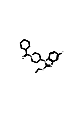 CCSc1nc2cc(F)ccc2n1C1CCN(C(=O)C2CCCCC2)CC1